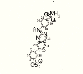 CS(=O)(=O)c1cccc(-c2ccc3cnc(Nc4ccc(S(N)(=O)=O)cc4)nc3c2)c1